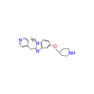 [2H]n1c(Cc2ccncc2)nc2cc(OCC3CCNCC3)ccc21